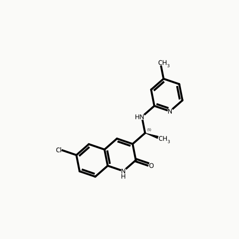 Cc1ccnc(N[C@@H](C)c2cc3cc(Cl)ccc3[nH]c2=O)c1